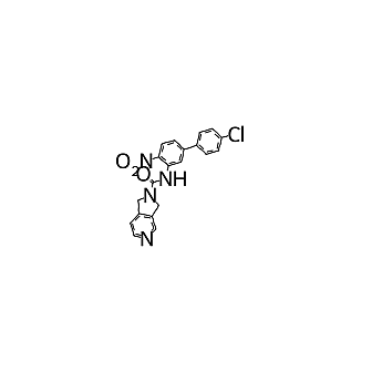 O=C(Nc1cc(-c2ccc(Cl)cc2)ccc1[N+](=O)[O-])N1Cc2ccncc2C1